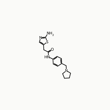 Nc1ncc(CC(=O)Nc2ccc(CN3CCCC3)cc2)s1